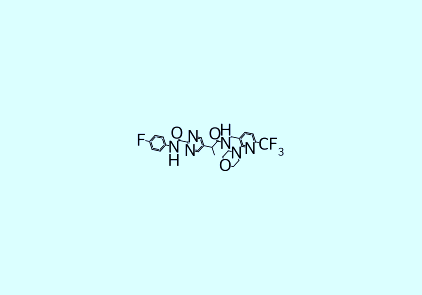 CC(C(=O)NCc1ccc(C(F)(F)F)nc1N1CCOCC1)c1cnc(C(=O)Nc2ccc(F)cc2)nc1